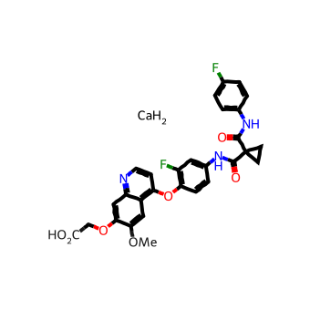 COc1cc2c(Oc3ccc(NC(=O)C4(C(=O)Nc5ccc(F)cc5)CC4)cc3F)ccnc2cc1OCC(=O)O.[CaH2]